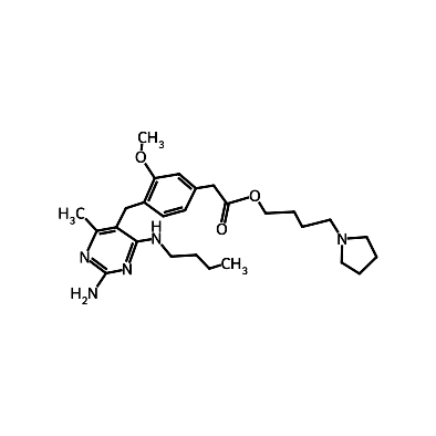 CCCCNc1nc(N)nc(C)c1Cc1ccc(CC(=O)OCCCCN2CCCC2)cc1OC